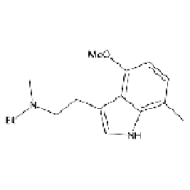 CCN(C)CCc1c[nH]c2c(C)ccc(OC)c12